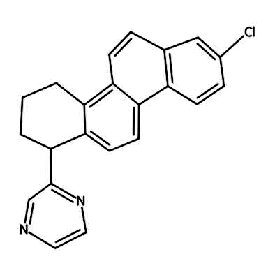 Clc1ccc2c(ccc3c4c(ccc32)C(c2cnccn2)CCC4)c1